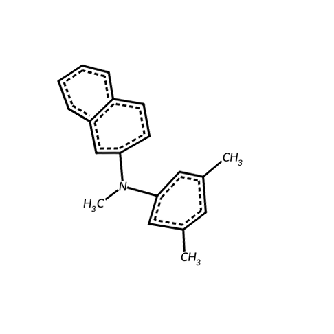 Cc1cc(C)cc(N(C)c2ccc3ccccc3c2)c1